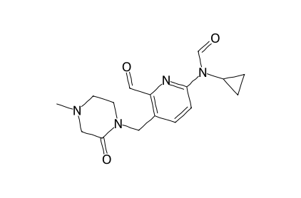 CN1CCN(Cc2ccc(N(C=O)C3CC3)nc2C=O)C(=O)C1